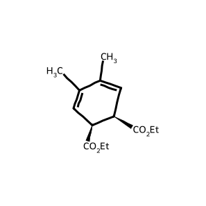 CCOC(=O)[C@H]1C=C(C)C(C)=C[C@H]1C(=O)OCC